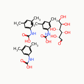 Cc1cc(C)cc(NC(=O)O)c1.Cc1cc(C)cc(NC(=O)O)c1.Cc1cc(C)cc(NC(=O)O)c1.O=C[C@H](O)[C@@H](O)[C@H](O)[C@H](O)CO